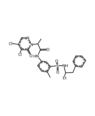 CCC(Cc1ccccc1)NS(=O)(=O)c1cc(NC(=O)C(C)n2ncc(Cl)c(Cl)c2=O)ccc1C